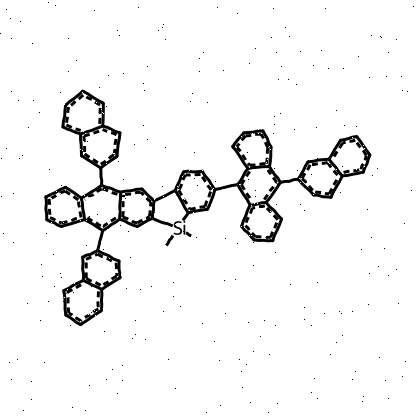 C[Si]1(C)c2cc(-c3c4ccccc4c(-c4ccc5ccccc5c4)c4ccccc34)ccc2-c2cc3c(-c4ccc5ccccc5c4)c4ccccc4c(-c4ccc5ccccc5c4)c3cc21